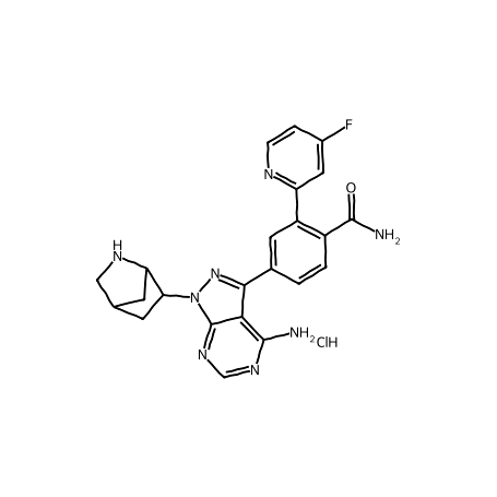 Cl.NC(=O)c1ccc(-c2nn(C3CC4CNC3C4)c3ncnc(N)c23)cc1-c1cc(F)ccn1